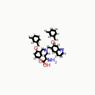 Cc1cccc(COc2ccccc2CN(CC[C@H](N)C(=O)O)Cc2cc3cccnc3cc2OCc2cccc(C)c2)c1